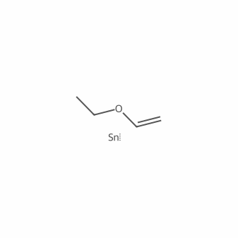 C=COCC.[Sn]